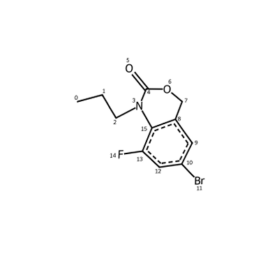 CCCN1C(=O)OCc2cc(Br)cc(F)c21